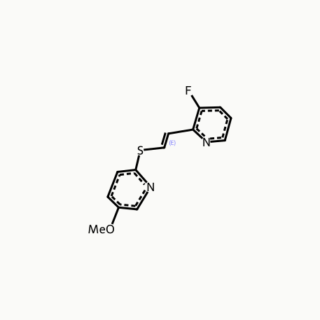 COc1ccc(S/C=C/c2ncccc2F)nc1